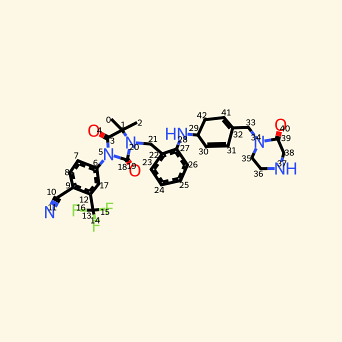 CC1(C)C(=O)N(c2ccc(C#N)c(C(F)(F)F)c2)C(=O)N1Cc1ccccc1NC1C=CC(CN2CCNCC2=O)=CC1